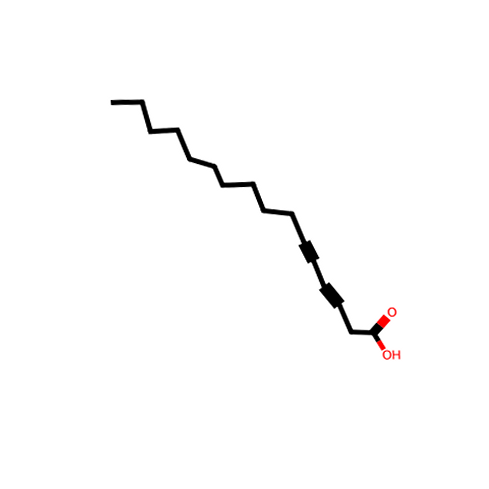 CCCCCCCCCCC#CC#CCC(=O)O